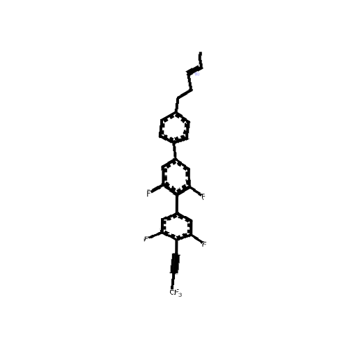 C/C=C/CCc1ccc(-c2cc(F)c(-c3cc(F)c(C#CC(F)(F)F)c(F)c3)c(F)c2)cc1